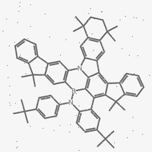 CC(C)(C)c1ccc(N2B3c4cc5c(cc4-n4c6cc7c(cc6c6c8c(c(c3c64)-c3cc(C(C)(C)C)ccc32)C(C)(C)c2ccccc2-8)C(C)(C)CCC7(C)C)-c2ccccc2C5(C)C)cc1